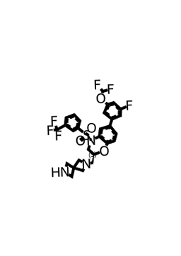 O=S(=O)(c1cccc(C(F)(F)F)c1)N1C[C@H](CN2CC3(CNC3)C2)Oc2ccc(-c3cc(F)cc(OC(F)F)c3)cc21